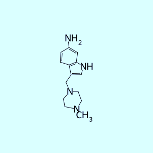 CN1CCN(Cc2c[nH]c3cc(N)ccc23)CC1